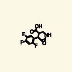 O=C(O)C1CNC2OC2C1c1cc(F)c(F)cc1F